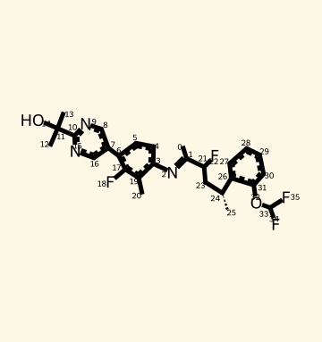 C/C(=N\c1ccc(-c2cnc(C(C)(C)O)nc2)c(F)c1C)C(F)C[C@@H](C)c1ccccc1OC(F)F